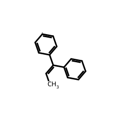 C/C=C(/c1cc[c]cc1)c1ccccc1